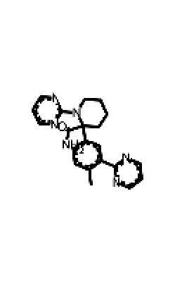 Cc1ccc(C2(C(N)=O)CCCCN2c2ncccn2)cc1-c1ncccn1